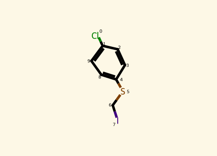 Clc1ccc(SCI)cc1